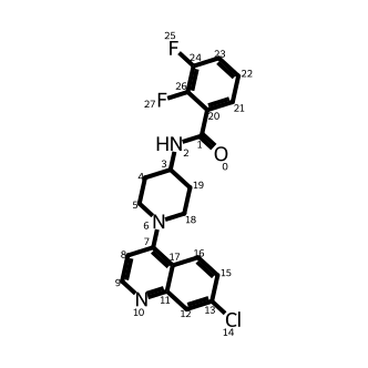 O=C(NC1CCN(c2ccnc3cc(Cl)ccc23)CC1)c1cccc(F)c1F